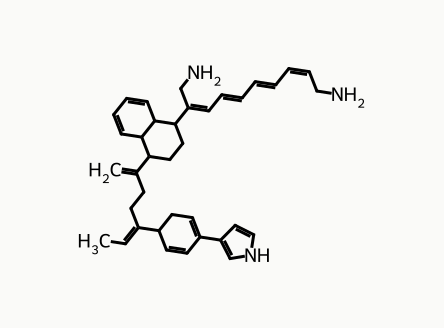 C=C(CC/C(=C\C)C1C=CC(c2cc[nH]c2)=CC1)C1CCC(/C(=C/C=C/C=C/C=C\CN)CN)C2C=CC=CC12